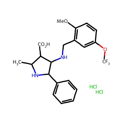 COc1ccc(OC(F)(F)F)cc1CNC1C(c2ccccc2)NC(C)C1C(=O)O.Cl.Cl